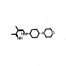 CC(=N)/C(C)=C\N[C@H]1CC[C@H](N2CCOCC2)CC1